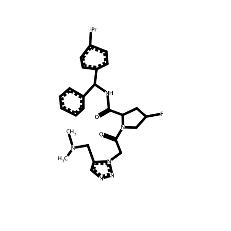 CC(C)c1ccc(C(NC(=O)C2CC(F)CN2C(=O)Cn2nncc2CN(C)C)c2ccccc2)cc1